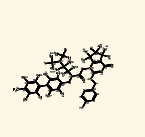 [2H]c1c([2H])c(-c2c([2H])c([2H])c(C(F)(F)F)c([2H])c2[2H])c([2H])c([2H])c1CN(C(=O)Cn1c(SCc2ccc(F)cc2)nc(=O)c2c1C([2H])([2H])C([2H])(C)C2([2H])[2H])C([2H])([2H])C([2H])([2H])N(C([2H])([2H])C)C([2H])([2H])C